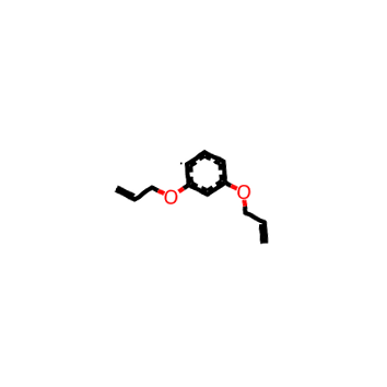 C=CCOc1[c]ccc(OCC=C)c1